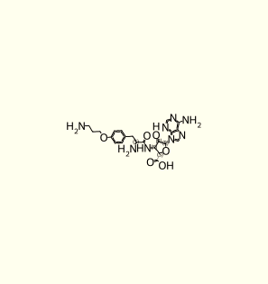 NCCCOc1ccc(C[C@H](N)C(=O)N[C@H]2[C@@H](O)[C@H](n3cnc4c(N)ncnc43)O[C@@H]2C(=O)O)cc1